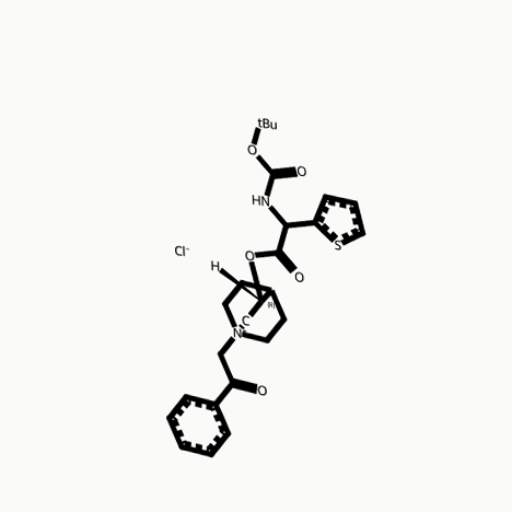 CC(C)(C)OC(=O)NC(C(=O)O[C@H]1C[N+]2(CC(=O)c3ccccc3)CCC1CC2)c1cccs1.[Cl-]